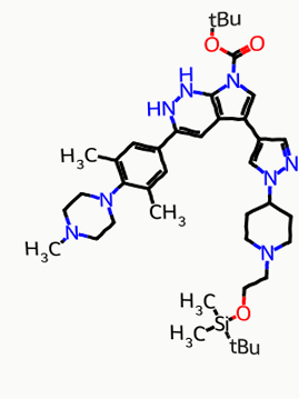 Cc1cc(C2=Cc3c(-c4cnn(C5CCN(CCO[Si](C)(C)C(C)(C)C)CC5)c4)cn(C(=O)OC(C)(C)C)c3NN2)cc(C)c1N1CCN(C)CC1